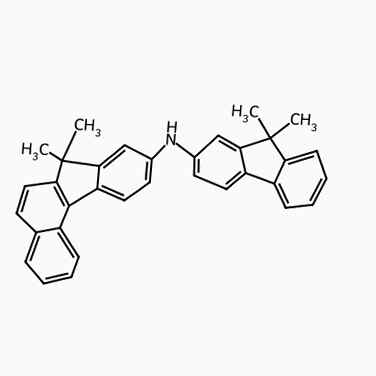 CC1(C)c2ccccc2-c2ccc(Nc3ccc4c(c3)C(C)(C)c3ccc5ccccc5c3-4)cc21